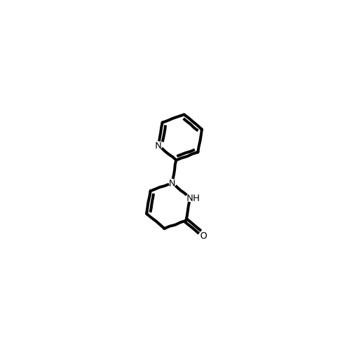 O=C1CC=CN(c2ccccn2)N1